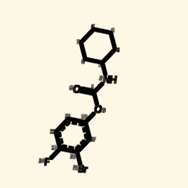 O=C(NC1CCCCC1)Oc1ccc(F)c(Br)c1